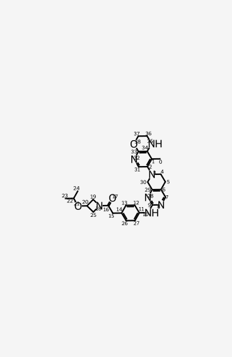 Cc1c(N2CCc3cnc(Nc4ccc(CC(=O)N5CC(OC(C)C)C5)cc4)nc3C2)cnc2c1NCCO2